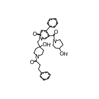 O=C(CCc1ccccc1)N1CCC(O)(Cn2cc(C(=O)N3CCC(O)CC3)c(-c3ccccc3)cc2=O)CC1